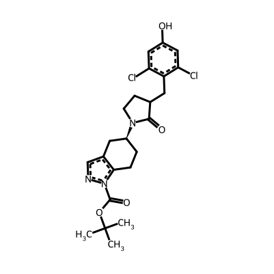 CC(C)(C)OC(=O)n1ncc2c1CC[C@H](N1CCC(Cc3c(Cl)cc(O)cc3Cl)C1=O)C2